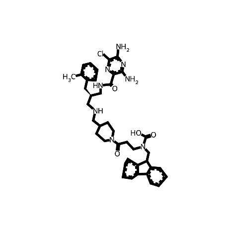 Cc1ccccc1C[C@H](CNCC1CCN(C(=O)CCN(CC2c3ccccc3-c3ccccc32)C(=O)O)CC1)CNC(=O)c1nc(Cl)c(N)nc1N